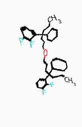 CCCC(CCCOCCCC(CCC)(c1cccc(F)c1F)C1CCCCC1)(c1cccc(F)c1F)C1CCCCC1